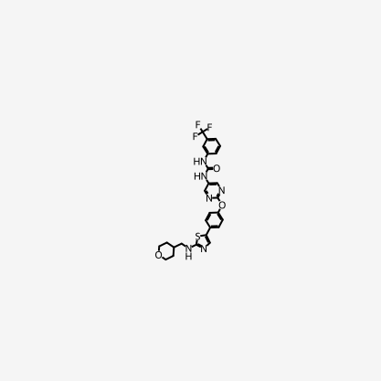 O=C(Nc1cnc(Oc2ccc(-c3cnc(NCC4CCOCC4)s3)cc2)nc1)Nc1cccc(C(F)(F)F)c1